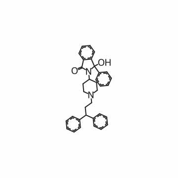 O=C1c2ccccc2C(O)(c2ccccc2)N1C1CCN(CCC(c2ccccc2)c2ccccc2)CC1